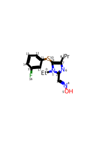 CCn1c(C=NO)nc(C(C)C)c1Sc1cccc(F)c1